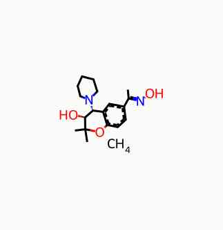 C.C/C(=N\O)c1ccc2c(c1)[C@@H](N1CCCCC1)[C@H](O)C(C)(C)O2